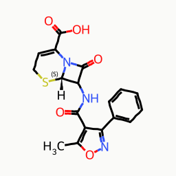 Cc1onc(-c2ccccc2)c1C(=O)NC1C(=O)N2C(C(=O)O)=CCS[C@@H]12